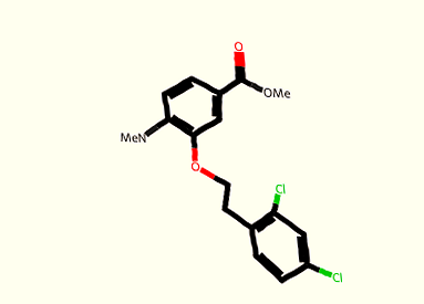 CNc1ccc(C(=O)OC)cc1OCCc1ccc(Cl)cc1Cl